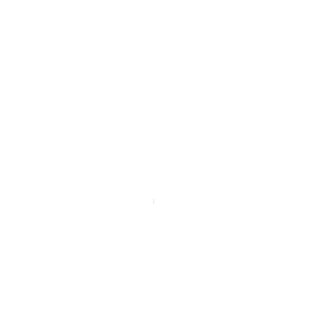 CCP(CC)CC.[Pd].c1ccc(P(c2ccccc2)c2ccccc2)cc1